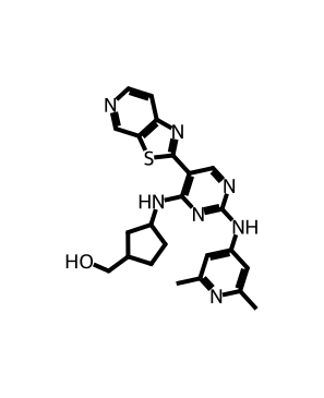 Cc1cc(Nc2ncc(-c3nc4ccncc4s3)c(NC3CCC(CO)C3)n2)cc(C)n1